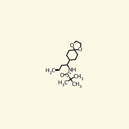 C=CCC(N[S+]([O-])C(C)(C)C)C1CCC2(CC1)OCCO2